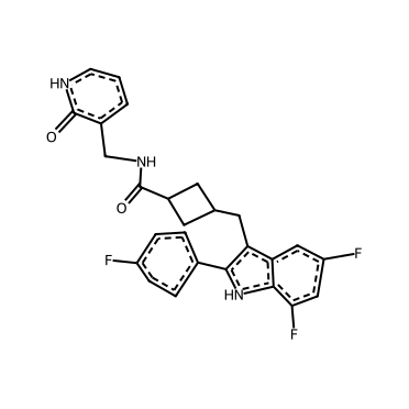 O=C(NCc1ccc[nH]c1=O)C1CC(Cc2c(-c3ccc(F)cc3)[nH]c3c(F)cc(F)cc23)C1